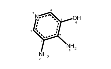 Nc1cncc(O)c1N